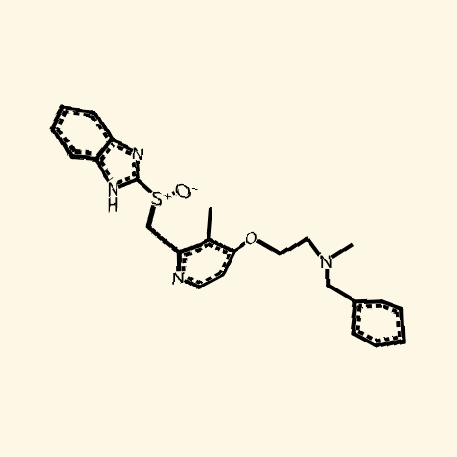 Cc1c(OCCN(C)Cc2ccccc2)ccnc1C[S+]([O-])c1nc2ccccc2[nH]1